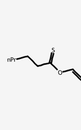 C=COC(=S)CCCCC